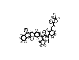 Cc1c(CCC(=O)OC(C)(C)C)cccc1NC(=O)C(c1ccc(CN2C(=O)c3ccccc3C2=O)cc1)C1CCCC1